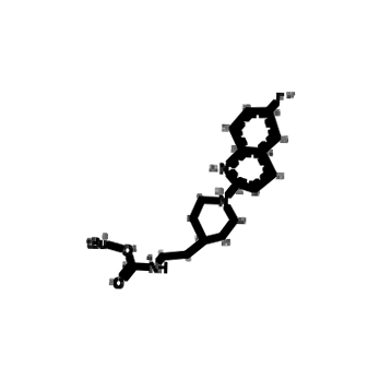 CC(C)(C)OC(=O)NCCC1CCN(c2ccc3cc(F)ccc3n2)CC1